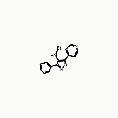 CCNc1c(-c2ccccc2)noc1-c1ccncc1